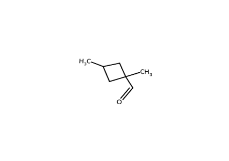 CC1CC(C)(C=O)C1